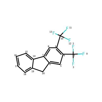 FC(F)(F)c1[c]c2c(cc1C(F)(F)F)-c1ccccc1C2